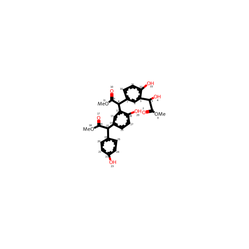 COC(=O)C(O)c1cc(C(C(=O)OC)c2cc(C(C(=O)OC)c3ccc(O)cc3)ccc2O)ccc1O